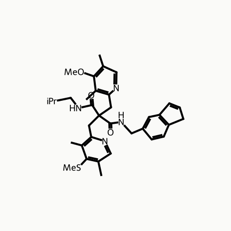 COc1c(C)cnc(CC(Cc2ncc(C)c(SC)c2C)(C(=O)NCc2ccc3c(c2)C=CC3)C(=O)NCC(C)C)c1C